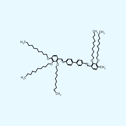 CCCCCCCCCCOc1ccc(/C=N/c2ccc(-c3ccc(/N=C/c4ccc(C)c(OCCCCCCCCCC)c4OCCCCCCCCCC)cc3)cc2)c(OCCCCCCCCCC)c1OCCCCCCCCCC